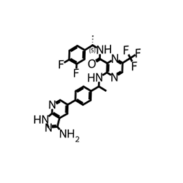 CC(Nc1ncc(C(F)(F)F)nc1C(=O)N[C@@H](C)c1ccc(F)c(F)c1)c1ccc(-c2cnc3[nH]nc(N)c3c2)cc1